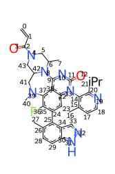 C=CC(=O)N1CC(C)N2c3nc(=O)n(-c4c(C)ccnc4C(C)C)c4cc(-c5c(C)ccc6[nH]ncc56)c(F)c(c34)N(C)CC2C1